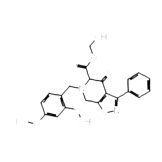 CCOC(=O)C1C(=O)c2c(-c3ccccc3)nsc2CN1Cc1ccc(OC)cc1OC